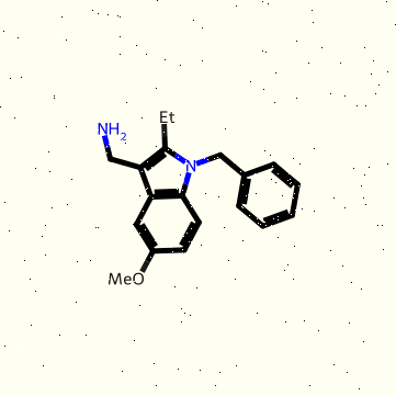 CCc1c(CN)c2cc(OC)ccc2n1Cc1ccccc1